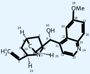 C=C[C@H]1C[C@H]2CCN1[C@H]([C@H](O)c1ccnc3ccc(OC)cc13)C2